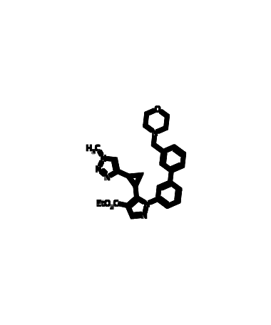 CCOC(=O)c1cnn(-c2cccc(-c3cccc(CN4CCOCC4)c3)c2)c1C1CC1c1cn(C)nn1